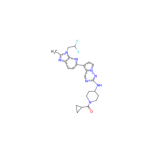 Cc1nc2ccc(-c3ccn4nc(NC5CCN(C(=O)C6CC6)CC5)ncc34)nc2n1CC(F)F